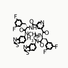 CN(C(=O)[C@H](Cc1cc(F)cc(F)c1)NC(=O)c1cncc(C(=O)N[C@@H](Cc2cc(F)cc(F)c2)C(=O)N(C)c2ccc3scnc3c2)c1)c1ccc2scnc2c1